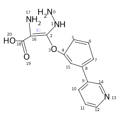 NN/C(Oc1cccc(-c2cccnc2)c1)=C(\N)C(=O)O